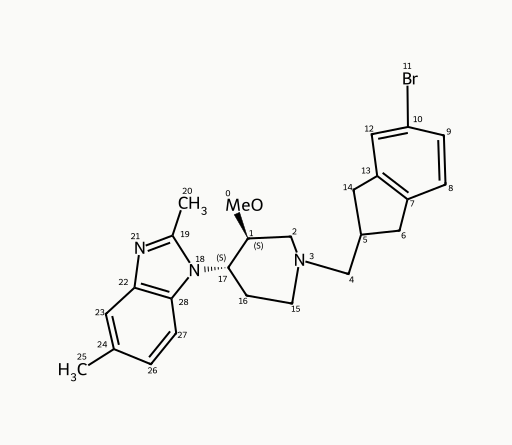 CO[C@H]1CN(CC2Cc3ccc(Br)cc3C2)CC[C@@H]1n1c(C)nc2cc(C)ccc21